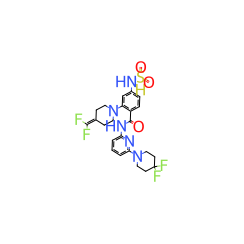 O=C(Nc1cccc(N2CCC(F)(F)CC2)n1)c1ccc(N[SH](=O)=O)cc1N1CCC(=C(F)F)CC1